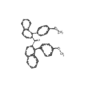 COc1ccc(-c2c(C(=O)c3ccc4ccccc4c3-c3ccc(OC)cc3)ccc3ccccc23)cc1